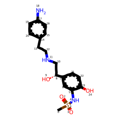 CS(=O)(=O)Nc1cc([C@H](O)CNCCc2ccc(N)cc2)ccc1O